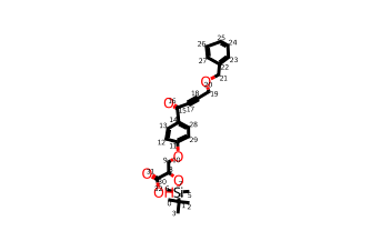 CC(C)(C)[Si](C)(C)OC(COc1ccc(C(=O)C#CCOCc2ccccc2)cc1)C(=O)O